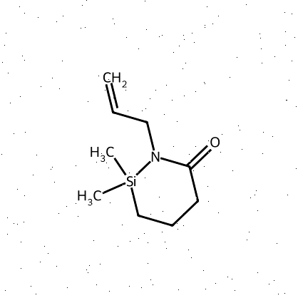 C=CCN1C(=O)CCC[Si]1(C)C